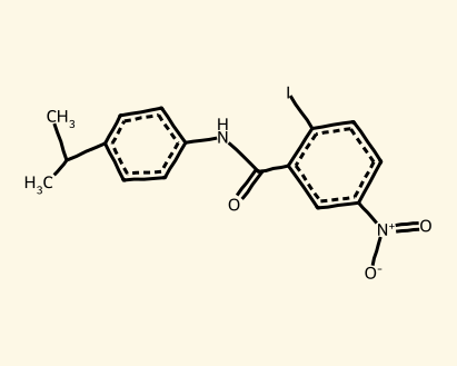 CC(C)c1ccc(NC(=O)c2cc([N+](=O)[O-])ccc2I)cc1